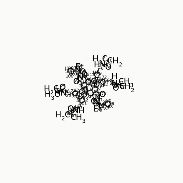 C=C(C)C(=O)NCCc1ccc(Oc2cc3c4c(cc(Oc5ccc(CCNC(=O)C(=C)C)cc5)c5c6c(Oc7ccc(CCNC(=O)C(=C)C)cc7)cc7c8c(cc(Oc9ccc(CCNC(=O)C(=C)C)cc9)c(c2c45)c86)C(=O)N(CC(=O)N(CC)c2ccccc2)C7=O)C(=O)N(CC(=O)N(CC)c2ccccc2)C3=O)cc1